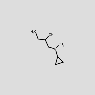 CCC(O)CN(C)C1CC1